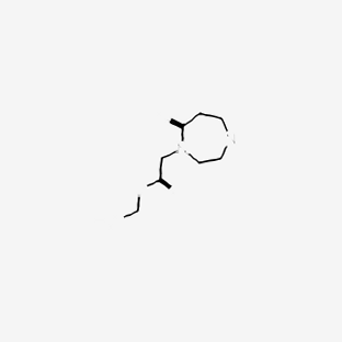 CCOC(=O)CN1CCNCCC1=O